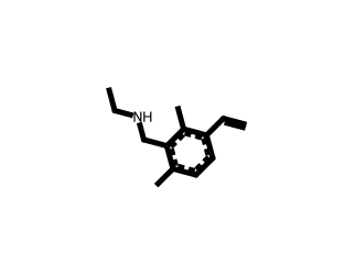 C=Cc1ccc(C)c(CNCC)c1C